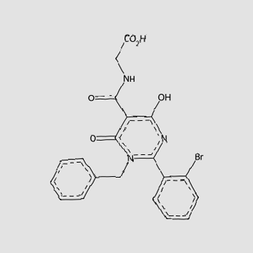 O=C(O)CNC(=O)c1c(O)nc(-c2ccccc2Br)n(Cc2ccccc2)c1=O